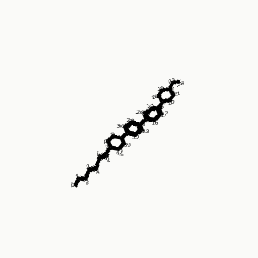 CCCCCCCC1CCC(c2ccc(-c3ccc(C4=CCC(CC)CC4)cc3)cc2)CC1